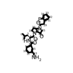 CC(C)C[C@H](NC(=O)c1cccc(CN)c1)C(=O)N1CCC2C1C(=O)CN2C(=O)Cc1ccccc1F